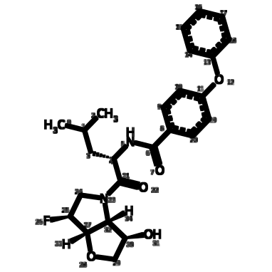 CC(C)C[C@H](NC(=O)c1ccc(Oc2ccccc2)cc1)C(=O)N1C[C@H](F)[C@H]2OC[C@H](O)[C@H]21